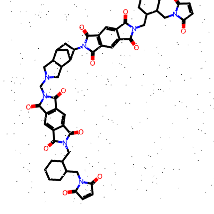 O=C1C=CC(=O)N1CC1CCCCC1Cn1c(=O)c2cc3c(=O)n(CN4CC5C6CC(C5C4)C(n4c(=O)c5cc7c(=O)n(CC8CCCCC8CN8C(=O)C=CC8=O)c(=O)c7cc5c4=O)C6)c(=O)c3cc2c1=O